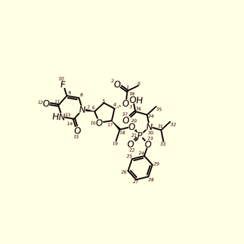 CC(=O)O[C@H]1C[C@H](n2cc(F)c(=O)[nH]c2=O)O[C@@H]1C(C)O[P@](=O)(Oc1ccccc1)N(C(C)C)C(C)C(=O)O